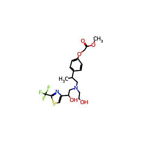 COC(=O)COc1ccc(C(C)CN(CCO)CC(O)c2csc(C(F)(F)F)n2)cc1